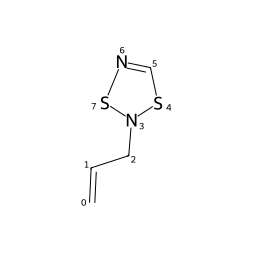 C=CCN1SC=NS1